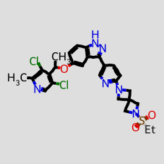 CCS(=O)(=O)N1CC2(CN(c3ccc(-c4n[nH]c5ccc(OC(C)c6c(Cl)cnc(C)c6Cl)cc45)cn3)C2)C1